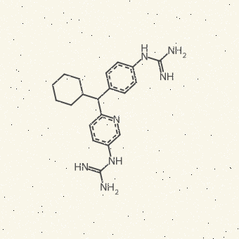 N=C(N)Nc1ccc(C(c2ccc(NC(=N)N)cn2)C2CCCCC2)cc1